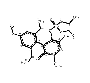 CCOP(=O)(OCC)Oc1c(C)nn(C)c(=O)c1-c1c(CC)cc(CC)cc1CC